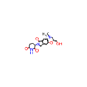 CN1CC(CO)Oc2cc3c(cc21)C(=O)N(C1CCC(=O)NC1=O)C3